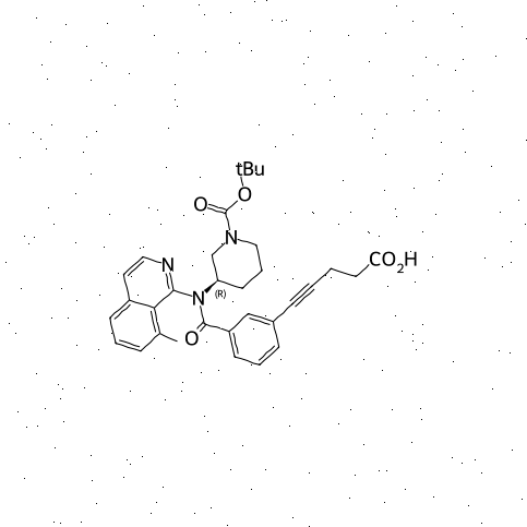 Cc1cccc2ccnc(N(C(=O)c3cccc(C#CCCC(=O)O)c3)[C@@H]3CCCN(C(=O)OC(C)(C)C)C3)c12